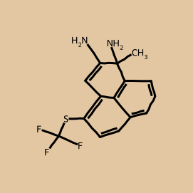 CC1(N)C(N)=Cc2c(SC(F)(F)F)ccc3cccc1c23